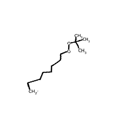 [CH2]CCCCCCCOOC(C)(C)C